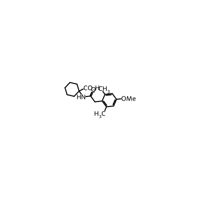 COc1cc(C)c(CC(=O)NC2(C(=O)O)CCCCC2)c(C)c1